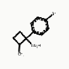 CC1CCC1(C(=O)O)c1ccc(Br)cc1